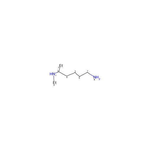 CCNC(CC)CCCCN